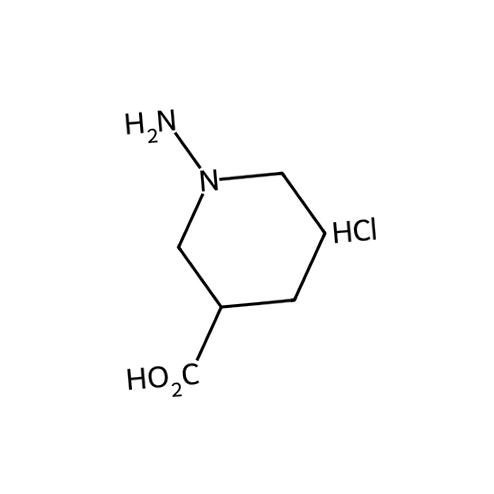 Cl.NN1CCCC(C(=O)O)C1